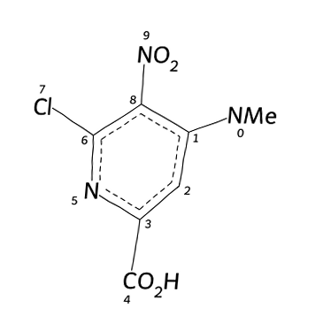 CNc1cc(C(=O)O)nc(Cl)c1[N+](=O)[O-]